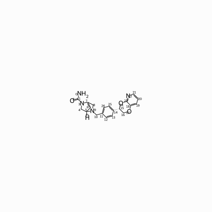 NC(=O)N1C[C@@H]2C=C1CN2Cc1ccc([C@H]2COc3cccnc3O2)cc1